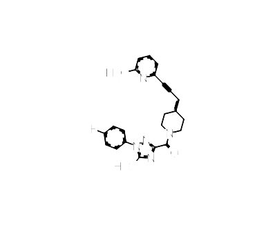 Cc1cccc(C#CC=C2CCN(C(=O)c3nc(C)n(-c4ccc(F)cc4)n3)CC2)n1